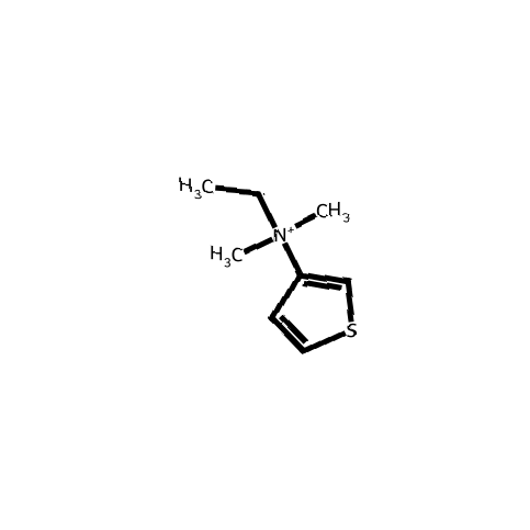 C[CH][N+](C)(C)c1ccsc1